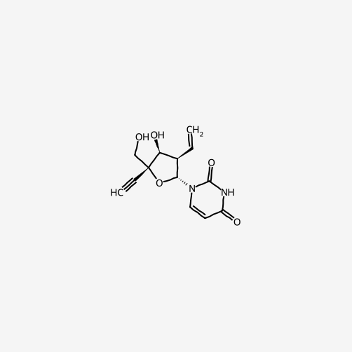 C#C[C@]1(CO)O[C@@H](n2ccc(=O)[nH]c2=O)[C@H](C=C)[C@@H]1O